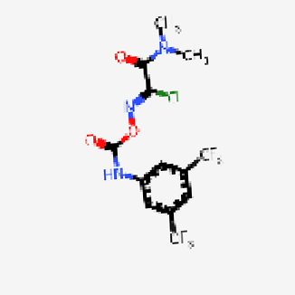 CN(C)C(=O)C(Cl)=NOC(=O)Nc1cc(C(F)(F)F)cc(C(F)(F)F)c1